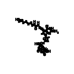 Nc1nc2c(c(C#CNC(=O)NCCCCCOCS)cn2C2CC[C@@H](COP(=O)(O)OP(=O)(O)OP(=O)(O)O)O2)c(=O)[nH]1